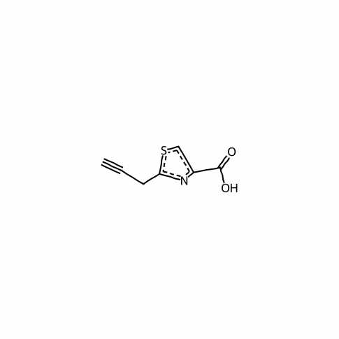 C#CCc1nc(C(=O)O)cs1